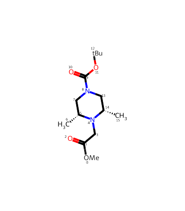 COC(=O)CN1[C@H](C)CN(C(=O)OC(C)(C)C)C[C@@H]1C